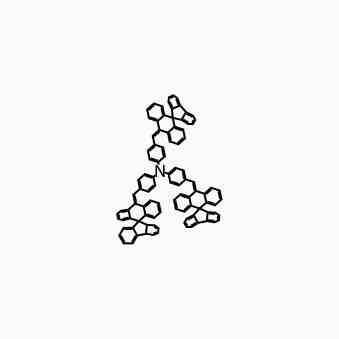 C1=CC2c3ccccc3C3(c4ccccc4C(=Cc4ccc(N(c5ccc(C=C6c7ccccc7C7(c8ccccc86)c6ccccc6-c6ccccc67)cc5)c5ccc(C=C6c7ccccc7C7(c8ccccc86)c6ccccc6-c6ccccc67)cc5)cc4)c4ccccc43)C2C=C1